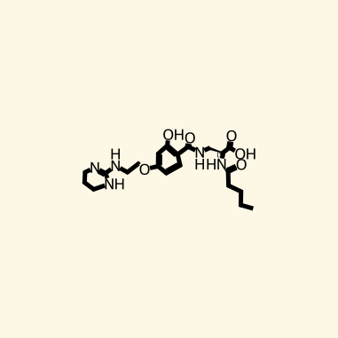 CCCCC(=O)N[C@@H](CNC(=O)c1ccc(OCCNC2=NCCCN2)cc1O)C(=O)O